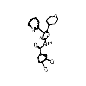 O=C(Nc1nc(-c2ccccn2)c(C2CCOCC2)s1)c1ccc(Cl)c(Cl)c1